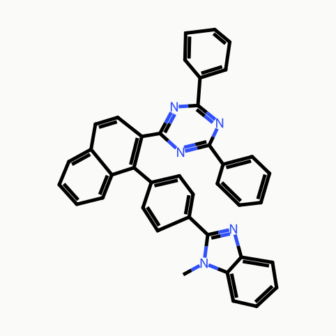 Cn1c(-c2ccc(-c3c(-c4nc(-c5ccccc5)nc(-c5ccccc5)n4)ccc4ccccc34)cc2)nc2ccccc21